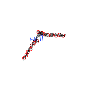 COCCOCCOCCOCCOCCOCC(=O)NCCCC[C@H](NC(=O)COCCOCCOCCOCCOCCOC)C(C)=O